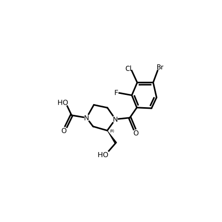 O=C(O)N1CCN(C(=O)c2ccc(Br)c(Cl)c2F)[C@@H](CO)C1